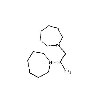 NC(CN1CCCCCC1)N1CCCCCC1